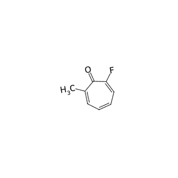 Cc1ccccc(F)c1=O